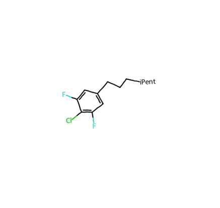 CCCC(C)CCCc1cc(F)c(Cl)c(F)c1